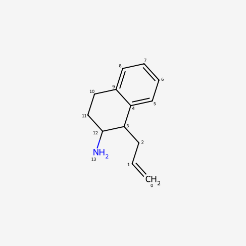 C=CCC1c2ccccc2CCC1N